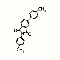 Cc1ccc(-c2ccc3c(c2)C(=O)N(c2ccc(C)cc2)C3=O)cc1